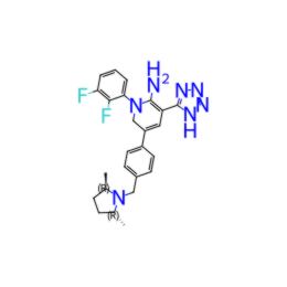 C[C@@H]1CC[C@@H](C)N1Cc1ccc(C2=CC(c3nnn[nH]3)=C(N)N(c3cccc(F)c3F)C2)cc1